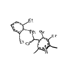 CCc1cccc(CC)c1NC(=O)c1c(C)nc(C)c(CC)c1Br